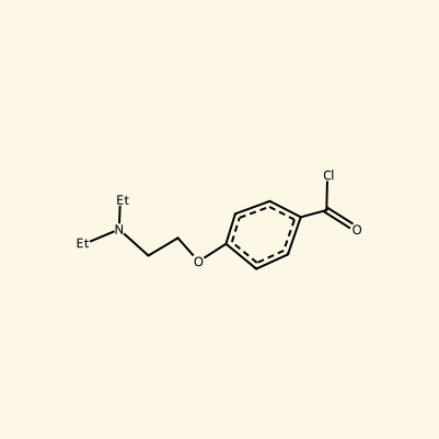 CCN(CC)CCOc1ccc(C(=O)Cl)cc1